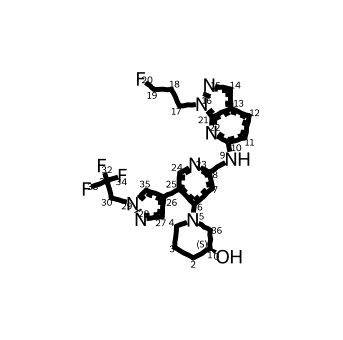 O[C@H]1CCCN(c2cc(Nc3ccc4cnn(CCCF)c4n3)ncc2-c2cnn(CC(F)(F)F)c2)C1